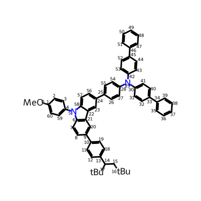 COc1ccc(-n2c3ccc(-c4ccc(C(CC(C)(C)C)C(C)(C)C)cc4)cc3c3cc(-c4ccc(N(c5ccc(-c6ccccc6)cc5)c5ccc(-c6ccccc6)cc5)cc4)ccc32)cc1